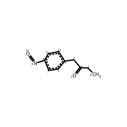 CCC(=O)Cc1ccc(N=O)cc1